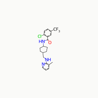 Cc1cccnc1NCC1CCC(NC(=O)c2cc(C(F)(F)F)ccc2Cl)CC1